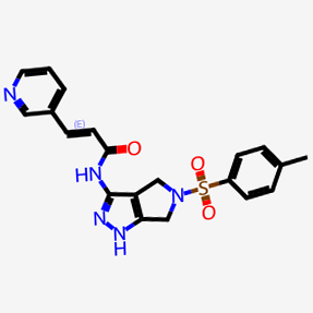 Cc1ccc(S(=O)(=O)N2Cc3[nH]nc(NC(=O)/C=C/c4cccnc4)c3C2)cc1